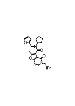 Cc1oc2ncn(CC(C)C)c(=O)c2c1C(=O)N(Cc1ccco1)C1CCCC1